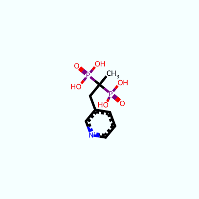 CC(Cc1cccnc1)(P(=O)(O)O)P(=O)(O)O